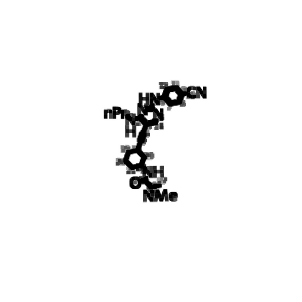 CCCNc1nc(Nc2ccc(C#N)cc2)ncc1C#CC1CCC[C@H](NC(=O)[C@H](C)NC)C1